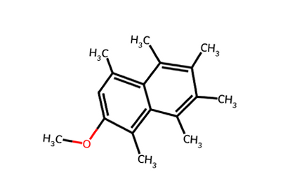 COc1cc(C)c2c(C)c(C)c(C)c(C)c2c1C